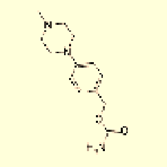 CN1CCN(c2ccc(COC(N)=O)cc2)CC1